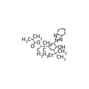 C=C(C)C(=O)OC(C)C(C)(C)c1cc(-n2nc3ccccc3n2)c(O)c(C(C)(C)CC)c1